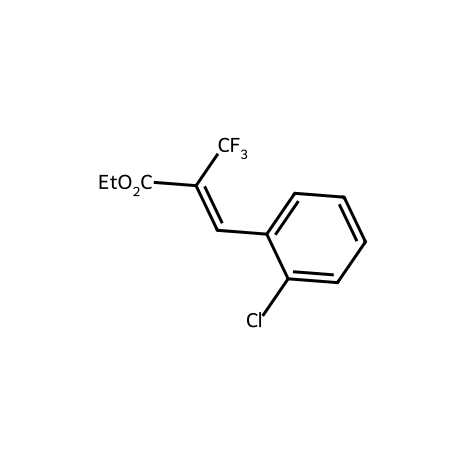 CCOC(=O)C(=Cc1ccccc1Cl)C(F)(F)F